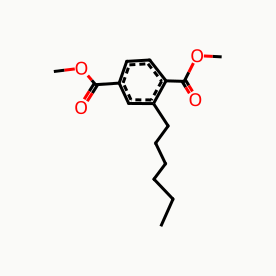 CCCCCCc1cc(C(=O)OC)ccc1C(=O)OC